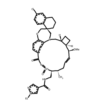 CCn1cc(C(=O)NC[C@@H]2[C@@H](C)C/C=C/[C@H](OC)[C@@H]3CC[C@H]3CN3C[C@@]4(CCCc5cc(Cl)ccc54)COc4ccc(cc43)C(=O)/N=[SH]\2=O)cn1